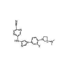 CN(C)[C@@H]1CCN(c2ccc(-n3cnc(Nc4cnc(C#N)cn4)c3)cc2F)C1